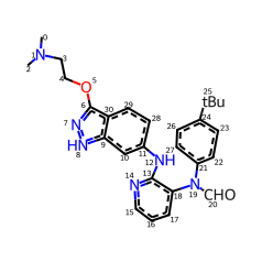 CN(C)CCOc1n[nH]c2cc(Nc3ncccc3N(C=O)c3ccc(C(C)(C)C)cc3)ccc12